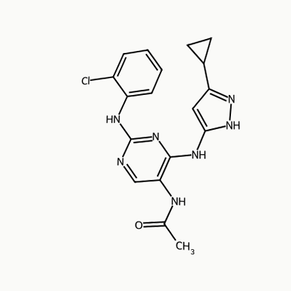 CC(=O)Nc1cnc(Nc2ccccc2Cl)nc1Nc1cc(C2CC2)n[nH]1